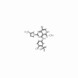 Cl.N[C@@H]1CCN(c2nc(Nc3ccc(Cl)c(C(F)(F)F)c3)c3c(=O)[nH]cc(Br)c3n2)C1